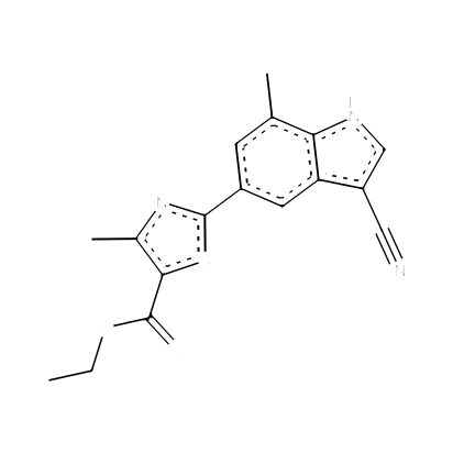 CCOC(=O)c1sc(-c2cc(C)c3[nH]cc(C#N)c3c2)nc1C